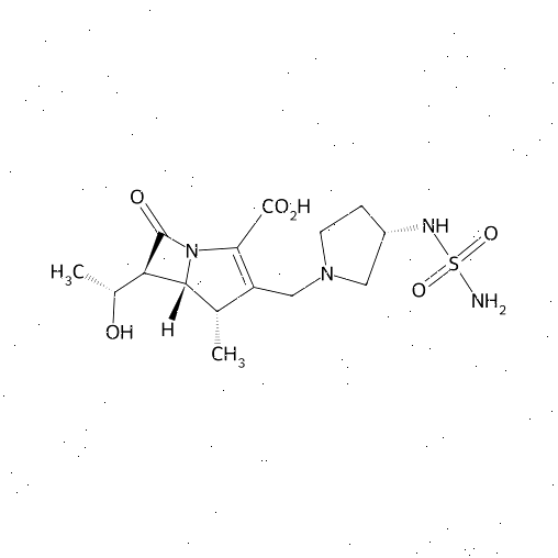 C[C@@H](O)[C@H]1C(=O)N2C(C(=O)O)=C(CN3CC[C@H](NS(N)(=O)=O)C3)[C@H](C)[C@H]12